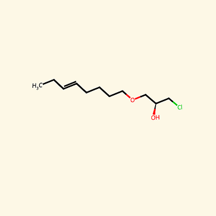 CCC=CCCCCOC[C@H](O)CCl